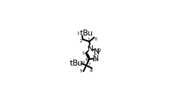 CC(CC(C)(C)C)n1cc(C(C)(C)C(C)(C)C)nn1